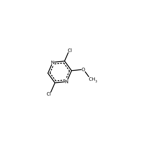 COc1nc(Cl)cnc1Cl